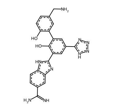 N=C(N)c1ccc2[nH]c(-c3cc(-c4nnn[nH]4)cc(-c4cc(CN)ccc4O)c3O)nc2c1